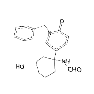 Cl.O=CNC1(c2ccc(=O)n(Cc3ccccc3)c2)CCCCC1